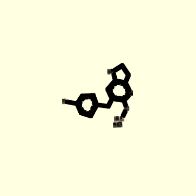 COc1nc2c(cc1Cc1ccc(F)cc1)NCC2.Cl